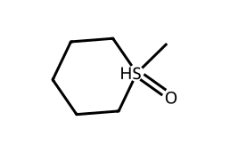 C[SH]1(=O)CCCCC1